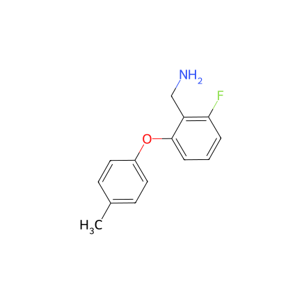 Cc1ccc(Oc2cccc(F)c2CN)cc1